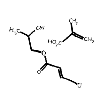 C=C(C)C(=O)O.CC(O)COC(=O)C=CCl